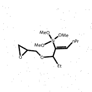 CCCC=C(C(CC)OCC1CO1)[Si](OC)(OC)OC